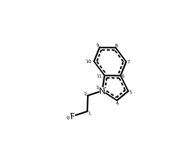 FCCn1ccc2ccccc21